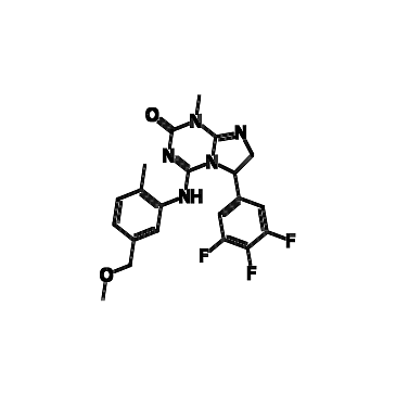 COCc1ccc(C)c(NC2=NC(=O)N(C)C3=NCC(c4cc(F)c(F)c(F)c4)N23)c1